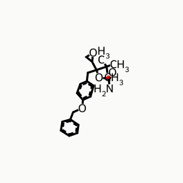 CC(C)(C)C(Cc1ccc(OCc2ccccc2)cc1)(OC(N)=O)C1CO1